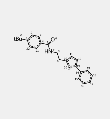 CC(C)(C)c1ccc(C(=O)NCCc2ccc(-c3ccccc3)s2)cc1